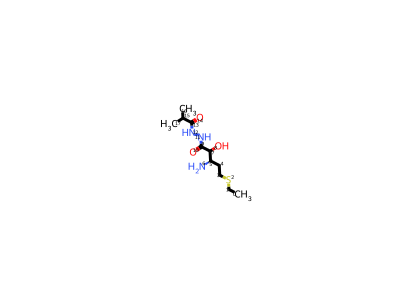 CCSCC[C@@H](N)C(O)C(=O)NNC(=O)C(C)C